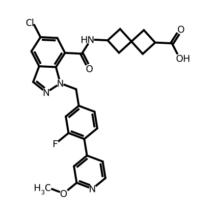 COc1cc(-c2ccc(Cn3ncc4cc(Cl)cc(C(=O)NC5CC6(C5)CC(C(=O)O)C6)c43)cc2F)ccn1